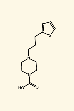 O=C(O)N1CCN(CCCc2cccs2)CC1